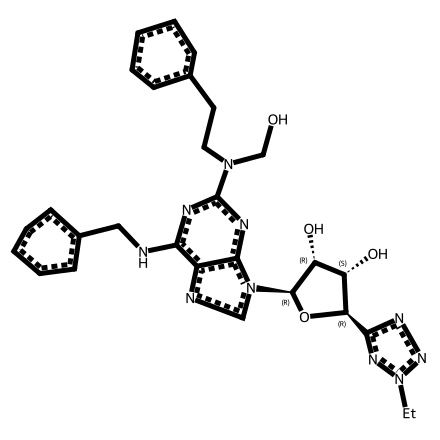 CCn1nnc([C@H]2O[C@@H](n3cnc4c(NCc5ccccc5)nc(N(CO)CCc5ccccc5)nc43)[C@H](O)[C@@H]2O)n1